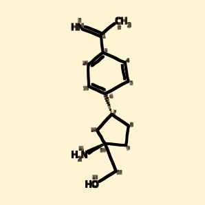 CC(=N)c1ccc([C@@H]2CC[C@](N)(CO)C2)cc1